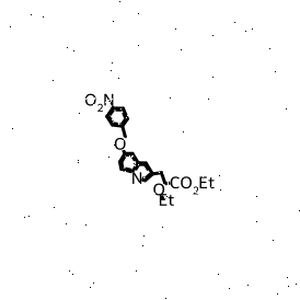 CCOC(=O)C(Cc1cnc2ccc(OCc3ccc([N+](=O)[O-])cc3)cc2c1)OCC